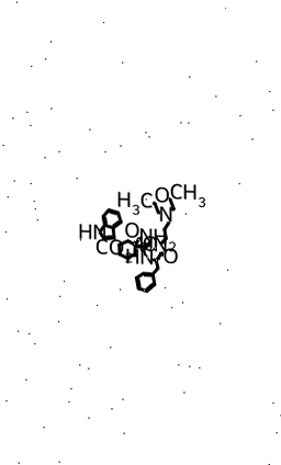 CC1CN(CCCNC(=O)C(Cc2ccccc2)NC(=O)C2(C(N)=O)CCCCC2)CC(C)O1.O=C(O)c1cc2ccccc2[nH]1